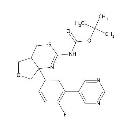 CC(C)(C)OC(=O)NC1=NC2(c3ccc(F)c(-c4cncnc4)c3)COCC2CS1